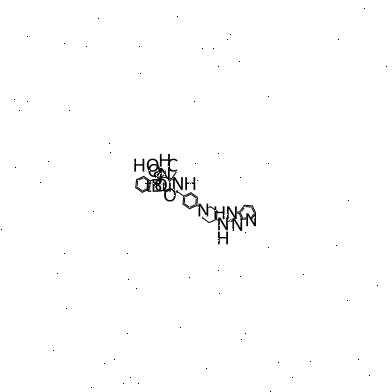 CC(C)(C)C(CC(=O)O)(NC(=O)c1ccc(N2CCC(Nc3nc4ncccc4[nH]3)CC2)cc1)NS(=O)(=O)c1ccccc1